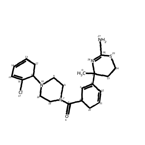 CC1(C2=CC(C(=O)N3CCN(C4CC=CC=C4Cl)CC3)CC=C2)CCSC(N)=N1